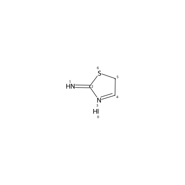 I.N=C1N=CCS1